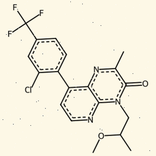 COC(C)Cn1c(=O)c(C)nc2c(-c3ccc(C(F)(F)F)cc3Cl)ccnc21